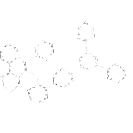 c1ccc(-c2cc(-c3ccccc3)cc(-c3ccc(-c4cccc5c4Oc4c(-c6ccccc6)c6ccccc6c6cccc-5c46)cc3)c2)cc1